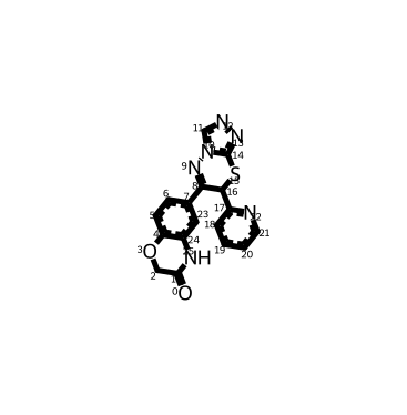 O=C1COc2ccc(C3=Nn4cnnc4SC3c3ccccn3)cc2N1